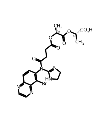 C[C@H](OC(=O)[C@H](C)OC(=O)CCC(=O)N(C1=NCCN1)c1ccc2nccnc2c1Br)C(=O)O